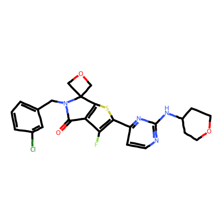 O=C1c2c(sc(-c3ccnc(NC4CCOCC4)n3)c2F)C2(COC2)N1Cc1cccc(Cl)c1